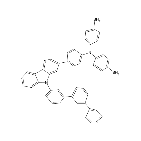 Bc1ccc(N(c2ccc(B)cc2)c2ccc(-c3ccc4c5ccccc5n(-c5cccc(-c6cccc(-c7ccccc7)c6)c5)c4c3)cc2)cc1